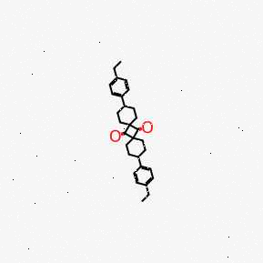 CCc1ccc(C2CCC3(CC2)C(=O)C2(CCC(c4ccc(CC)cc4)CC2)C3=O)cc1